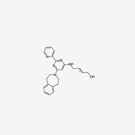 OC/C=C/CNc1cc(N2CCc3ccccc3CC2)nc(-c2ccccn2)n1